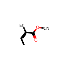 CC=C(CC)C(=O)OC#N